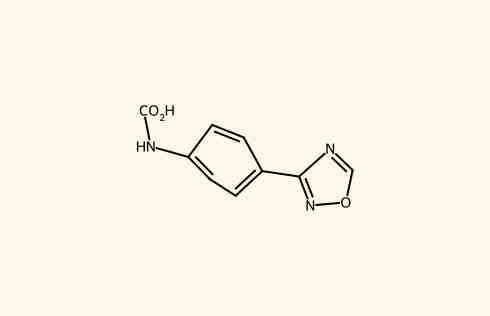 O=C(O)Nc1ccc(-c2ncon2)cc1